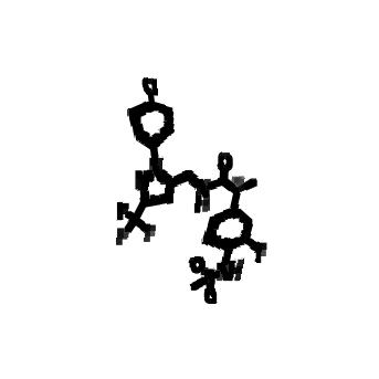 C[C@H](C(=O)NCc1cc(C(F)(F)F)nn1-c1ccc(Cl)cc1)c1ccc(NS(C)(=O)=O)c(F)c1